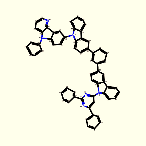 c1ccc(-c2cc(-n3c4ccccc4c4cc(-c5cccc(-c6ccc7c(c6)c6ccccc6n7-c6ccc7c(c6)c6ncccc6n7-c6ccccc6)c5)ccc43)nc(-c3ccccc3)n2)cc1